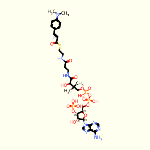 CN(C)c1ccc(/C=C/C(=O)SCCNC(=O)CCNC(=O)C(O)C(C)(C)COP(=O)(O)OP(=O)(O)OC[C@H]2O[C@@H](n3cnc4c(N)ncnc43)[C@H](O)[C@@H]2OP(=O)(O)O)cc1